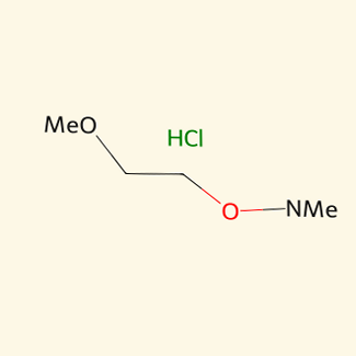 CNOCCOC.Cl